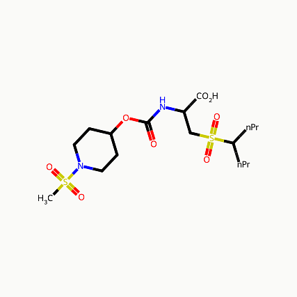 CCCC(CCC)S(=O)(=O)CC(NC(=O)OC1CCN(S(C)(=O)=O)CC1)C(=O)O